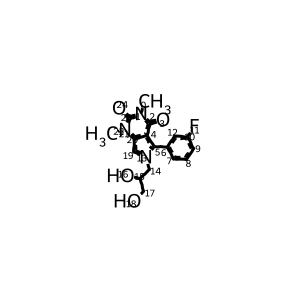 Cn1c(=O)c2c(-c3cccc(F)c3)n(CC(O)CO)cc2n(C)c1=O